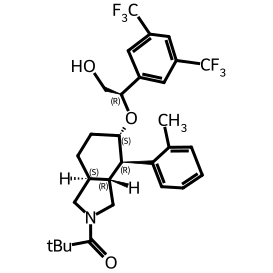 Cc1ccccc1[C@H]1[C@@H]2CN(C(=O)C(C)(C)C)C[C@H]2CC[C@@H]1O[C@@H](CO)c1cc(C(F)(F)F)cc(C(F)(F)F)c1